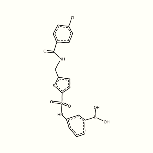 O=C(NCc1ccc(S(=O)(=O)Nc2cccc(B(O)O)c2)s1)c1ccc(Cl)cc1